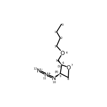 CCCCOC[C@H]1OC[C@H]1N=[N+]=[N-]